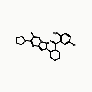 CC1=CN2NC(C3CCCCN3C(=O)c3cc(Cl)ccc3N)C=C2N=C1N1CCCC1